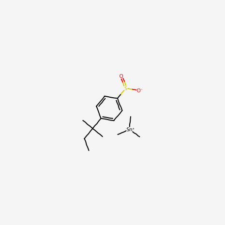 CCC(C)(C)c1ccc(S(=O)[O-])cc1.[CH3][Sn+]([CH3])[CH3]